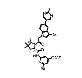 COc1cc(Br)nc(NC(=O)[C@@H]2CC(C)(C)[C@@H](C)N2C(=O)Cn2cc(C(C)=O)c3cc(-c4cnc(C)nc4)ccc32)c1